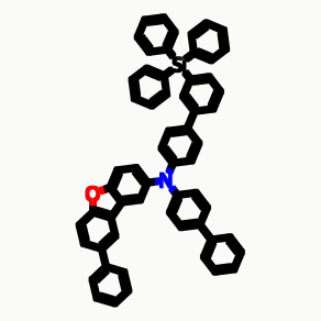 c1ccc(-c2ccc(N(c3ccc(-c4cccc([Si](c5ccccc5)(c5ccccc5)c5ccccc5)c4)cc3)c3ccc4oc5ccc(-c6ccccc6)cc5c4c3)cc2)cc1